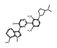 COc1cccc2c(-c3nc(-c4c(N)ccc(N5CCC(N(C)C)C5)c4N)ncc3Cl)cn(C)c12